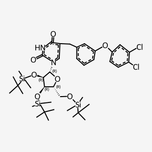 CC(C)(C)[Si](C)(C)OC[C@H]1O[C@@H](n2cc(Cc3cccc(Oc4ccc(Cl)c(Cl)c4)c3)c(=O)[nH]c2=O)[C@H](O[Si](C)(C)C(C)(C)C)[C@@H]1O[Si](C)(C)C(C)(C)C